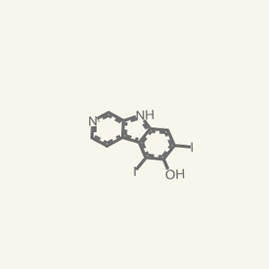 Oc1c(I)cc2[nH]c3cnccc3c2c1I